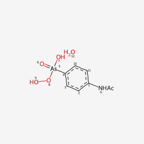 CC(=O)Nc1ccc([As](=O)(O)OO)cc1.O